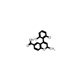 CC1C=C(c2c(Cl)cccc2Cl)c2cc(C(=O)O)ccc2O1